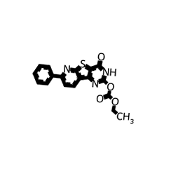 CCOC(=O)Oc1nc2c(sc3nc(-c4ccccc4)ccc32)c(=O)[nH]1